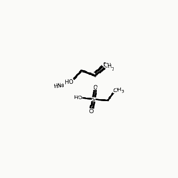 C=CCO.CCS(=O)(=O)O.[NaH]